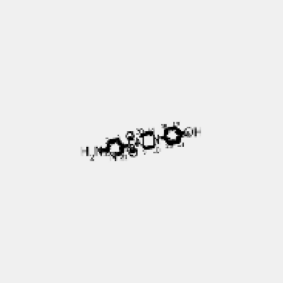 Nc1ccc(S(=O)(=O)N2CCN(c3ccc(O)cc3)CC2)cn1